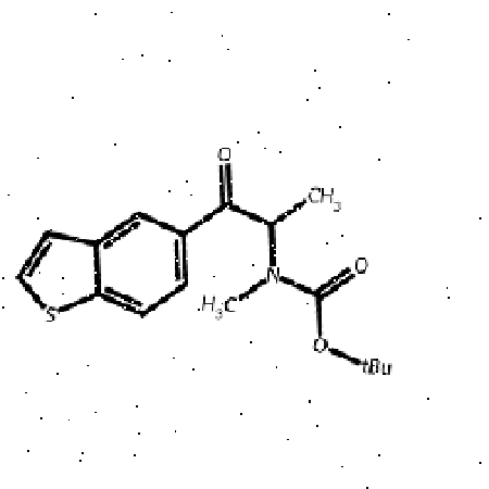 CC(C(=O)c1ccc2sccc2c1)N(C)C(=O)OC(C)(C)C